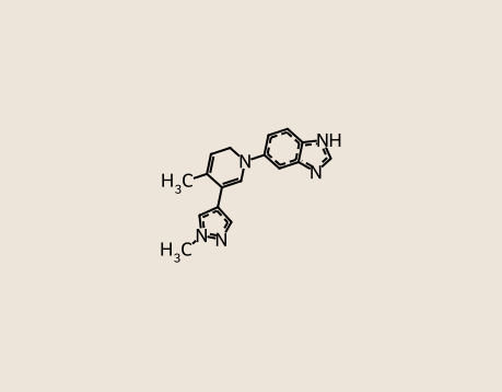 CC1=CCN(c2ccc3[nH]cnc3c2)C=C1c1cnn(C)c1